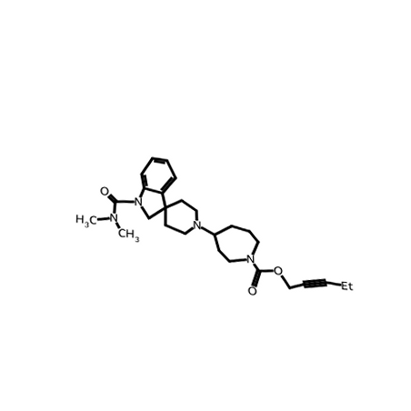 CCC#CCOC(=O)N1CCCC(N2CCC3(CC2)CN(C(=O)N(C)C)c2ccccc23)CC1